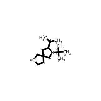 CC(C)C1CC2(CCOC2)CN1C(C)(C)C